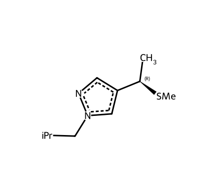 CS[C@H](C)c1cnn(CC(C)C)c1